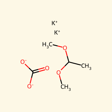 COC(C)OC.O=C([O-])[O-].[K+].[K+]